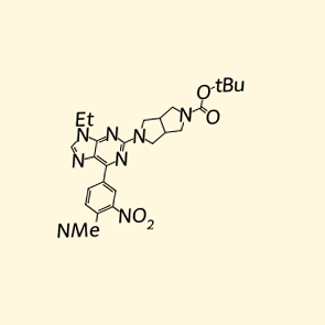 CCn1cnc2c(-c3ccc(NC)c([N+](=O)[O-])c3)nc(N3CC4CN(C(=O)OC(C)(C)C)CC4C3)nc21